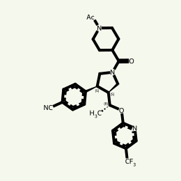 CC(=O)N1CCC(C(=O)N2C[C@@H]([C@@H](C)Oc3ccc(C(F)(F)F)cn3)[C@@H](c3ccc(C#N)cc3)C2)CC1